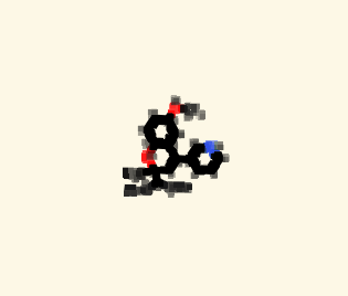 COC(OC)C1(C)C=C(c2cccnc2)c2cc(OC(F)(F)F)ccc2O1